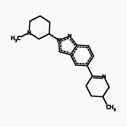 CC1CCC(c2ccc3nn(C4CCCN(C)C4)cc3c2)=NC1